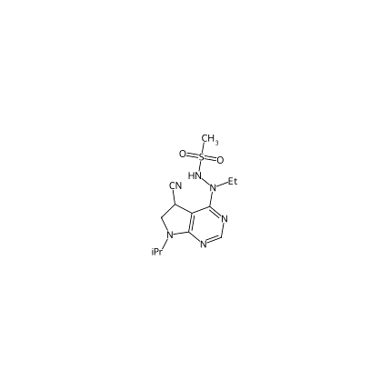 CCN(NS(C)(=O)=O)c1ncnc2c1C(C#N)CN2C(C)C